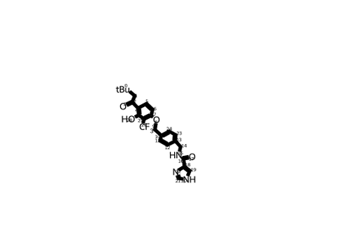 CC(C)(C)CC(=O)c1ccc(OCc2ccc(CNC(=O)c3c[nH]cn3)cc2)c(C(F)(F)F)c1O